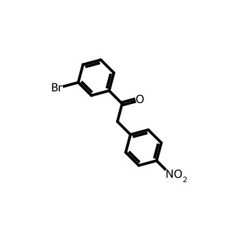 O=C(Cc1ccc([N+](=O)[O-])cc1)c1cccc(Br)c1